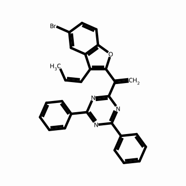 C=C(c1nc(-c2ccccc2)nc(-c2ccccc2)n1)c1oc2ccc(Br)cc2c1/C=C\C